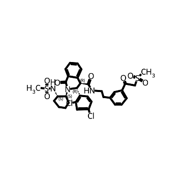 CS(=O)(=O)CC(=O)c1cccc(CCNC(=O)[C@@H]2c3ccccc3C(=O)N([C@H]3CCCC[C@@H]3NS(C)(=O)=O)[C@H]2c2ccc(Cl)cc2Cl)c1